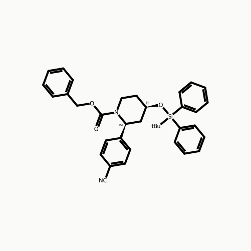 CC(C)(C)[Si](O[C@@H]1CCN(C(=O)OCc2ccccc2)[C@H](c2ccc(C#N)cc2)C1)(c1ccccc1)c1ccccc1